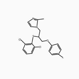 Cc1nccn1CC(COc1ccc(I)cc1)Sc1c(Cl)cccc1Cl